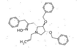 C=CCN1C[C@@H](OCc2ccccc2)[C@H](OCc2ccccc2)[C@H]1CC(Cc1ccccc1)=NO